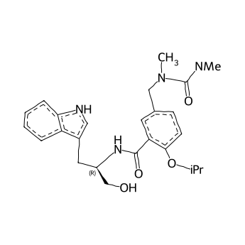 CNC(=O)N(C)Cc1ccc(OC(C)C)c(C(=O)N[C@@H](CO)Cc2c[nH]c3ccccc23)c1